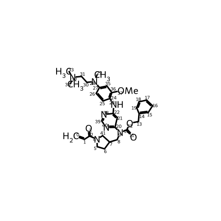 C=CC(=O)N1CCC(CN(C(=O)OCc2ccccc2)c2cc(Nc3ccc(N(C)CCN(C)C)cc3OC)ncn2)C1